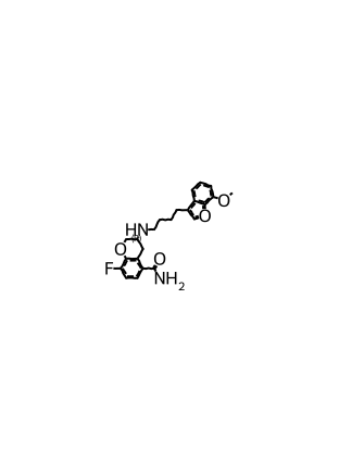 COc1cccc2c(CCCCN[C@H]3COc4c(F)ccc(C(N)=O)c4C3)coc12